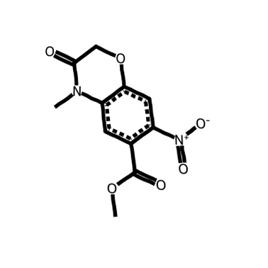 COC(=O)c1cc2c(cc1[N+](=O)[O-])OCC(=O)N2C